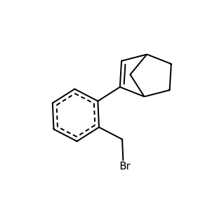 BrCc1ccccc1C1=CC2CCC1C2